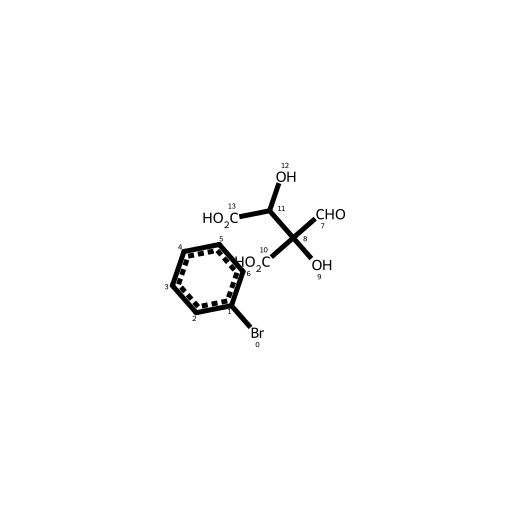 Brc1ccccc1.O=CC(O)(C(=O)O)C(O)C(=O)O